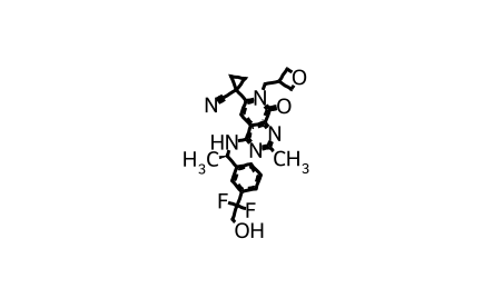 Cc1nc(N[C@H](C)c2cccc(C(F)(F)CO)c2)c2cc(C3(C#N)CC3)n(CC3COC3)c(=O)c2n1